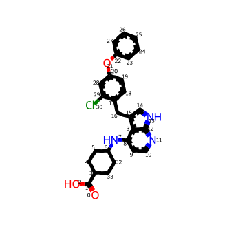 O=C(O)C1CCC(Nc2ccnc3[nH]cc(Cc4ccc(Oc5ccccc5)cc4Cl)c23)CC1